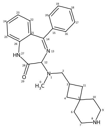 CN(CC1CC2(CCNCC2)C1)C1N=C(c2ccccc2)c2ccccc2NC1=O